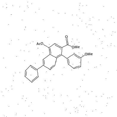 COC(=O)c1cc(OC(C)=O)c2cc(-c3ccccc3)ccc2c1-c1cccc(OC)c1